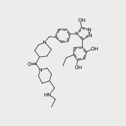 CCNCC1CCN(C(=O)C2CCN(Cc3ccc(-n4c(O)nnc4-c4cc(CC)c(O)cc4O)cc3)CC2)CC1